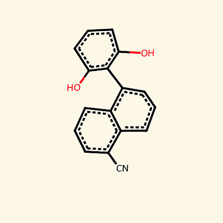 N#Cc1cccc2c(-c3c(O)cccc3O)cccc12